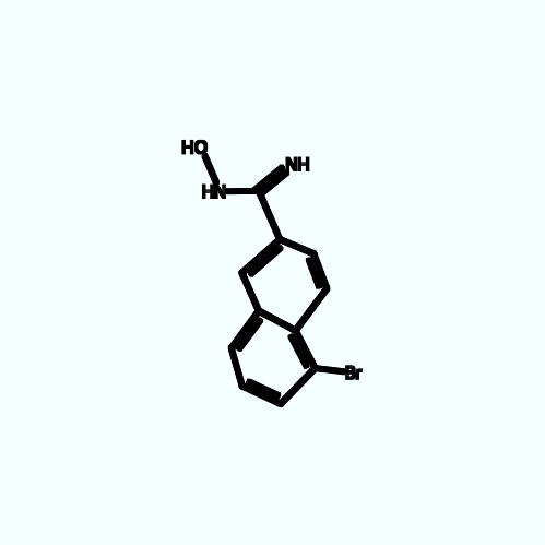 N=C(NO)c1ccc2c(Br)cccc2c1